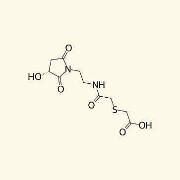 O=C(O)CSCC(=O)NCCN1C(=O)C[C@@H](O)C1=O